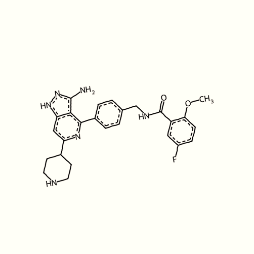 COc1ccc(F)cc1C(=O)NCc1ccc(-c2nc(C3CCNCC3)cc3[nH]nc(N)c23)cc1